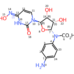 Nc1ccc(N(C(=O)O)[C@@H]2O[C@@H](n3cc/c(=N/O)[nH]c3=O)[C@H](O)[C@@H]2O)cc1